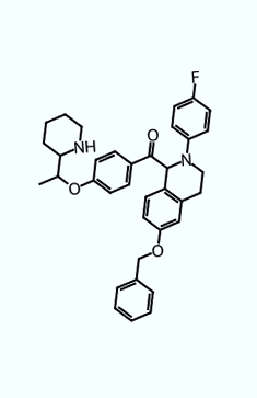 CC(Oc1ccc(C(=O)C2c3ccc(OCc4ccccc4)cc3CCN2c2ccc(F)cc2)cc1)C1CCCCN1